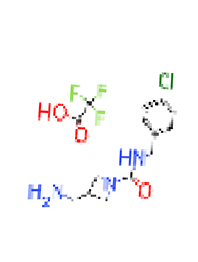 NCC1CN(C(=O)NCc2ccc(Cl)cc2)C1.O=C(O)C(F)(F)F